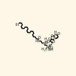 CC/C=C\C/C=C\C/C=C\C/C=C\C/C=C\C/C=C\CCC(=O)NCCNCCN(C)P(=O)(O)OC[C@H]1O[C@@H](n2ccc(=O)[nH]c2=O)[C@](C)(F)[C@@H]1O